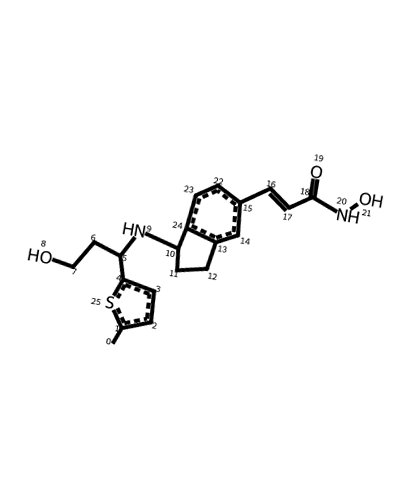 Cc1ccc(C(CCO)NC2CCc3cc(C=CC(=O)NO)ccc32)s1